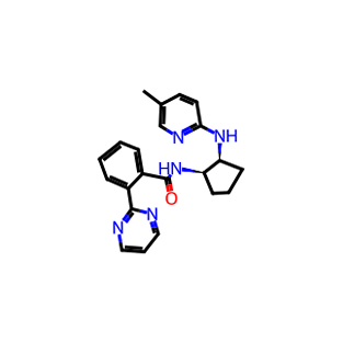 Cc1ccc(N[C@H]2CCC[C@H]2NC(=O)c2ccccc2-c2ncccn2)nc1